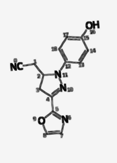 N#CCC1CC(c2ncco2)=NN1c1ccc(O)cc1